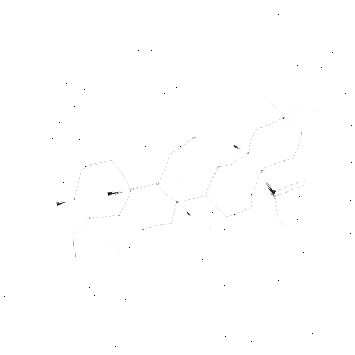 CC1(C)CC[C@]2(C(=O)O)CC[C@]3(C)C(=CC[C@@H]4[C@@]5(C)C[C@@H](O)[C@H](O)[C@](C)(CO)[C@@H]5CC[C@]43C)[C@@H]2[C@@H]1O